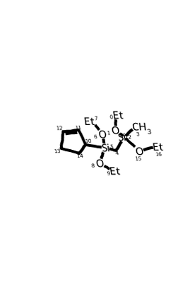 CCO[Si](C)(C[Si](OCC)(OCC)C1C=CCC1)OCC